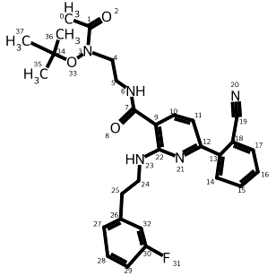 CC(=O)N(CCNC(=O)c1ccc(-c2ccccc2C#N)nc1NCCc1cccc(F)c1)OC(C)(C)C